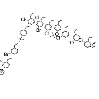 C=C=C.C=Cc1c(Cl)cccc1Cl.C=Cc1ccc(Br)cc1.C=Cc1ccc(C(C)(C)C)cc1.C=Cc1ccc(Cl)cc1.C=Cc1ccc(OC(C)(C)C)cc1.C=Cc1cccc(Br)c1.C=Cc1cccc(Cl)c1.C=Cc1cccc(OC)c1.C=Cc1ccccc1Br.C=Cc1ccccc1Cl.c1cc2ccc1CO2